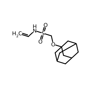 C=CNS(=O)(=O)COC12CC3CC(CC(C3)C1)C2